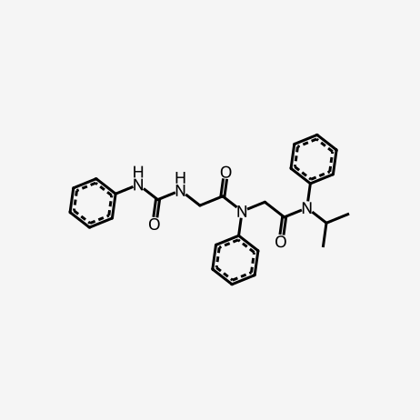 CC(C)N(C(=O)CN(C(=O)CNC(=O)Nc1ccccc1)c1ccccc1)c1ccccc1